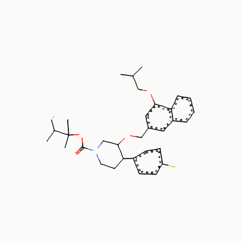 CC(C)COc1cc(COC2CN(C(=O)OC(C)(C)C(C)[SiH3])CCC2c2ccc(F)cc2)cc2ccccc12